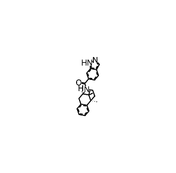 CC1(C)[C@H]2Cc3ccccc3[C@]1(C)CCN2C(=O)c1ccc2cn[nH]c2c1